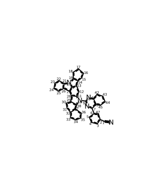 N#Cc1cccc(-c2nc(-n3c4cc5c6ccccc6n6c7ccccc7c(c4c4ccc7ccccc7c43)c56)nc3ccccc23)c1